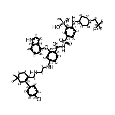 CC1(C)CCC(CNCCNc2ccc(C(=O)NS(=O)(=O)c3ccc(NC4CCN(CC(F)(F)F)CC4)c([N+](C)([O-])O)c3)c(Oc3cccc4[nH]ccc34)c2)=C(c2ccc(Cl)cc2)C1